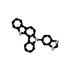 c1ccc2c(c1)sc1c2ccc2c1c1ccccc1n2-c1ccc2ncsc2c1